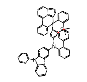 C[Si]1(C)c2ccccc2C2(c3ccccc3-c3cccc4cccc2c34)c2ccc(N(c3ccc4c(c3)c3ccccc3n4-c3ccccc3)c3ccccc3-c3ccccc3)cc21